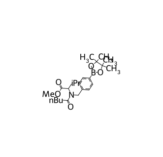 CCCCC(=O)N(Cc1ccc(B2OC(C)(C)C(C)(C)O2)cc1)C(C(=O)OC)C(C)C